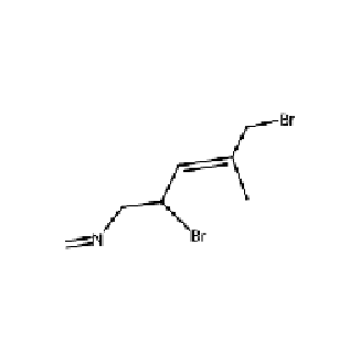 C=NCC(Br)/C=C(\C)CBr